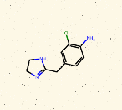 Nc1ccc(CC2=NCCN2)cc1Cl